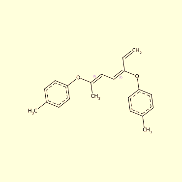 C=C/C(=C\C=C(/C)Oc1ccc(C)cc1)Oc1ccc(C)cc1